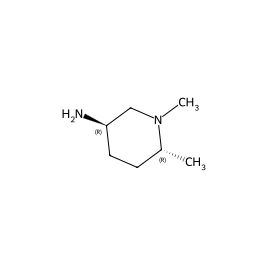 C[C@@H]1CC[C@@H](N)CN1C